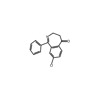 O=C1CCN=C(c2ccccc2)c2cc(Cl)ccc21